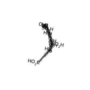 O=C(O)CCCCCCCCCCCCCCCCCCC(=O)NCC1CCC(C(=O)NC(CCC(=O)NCCOCCOCC(=O)NCCOCCOCC(=O)Oc2c(Cl)cc(Cl)cc2S(=O)(=O)O)C(=O)O)CC1